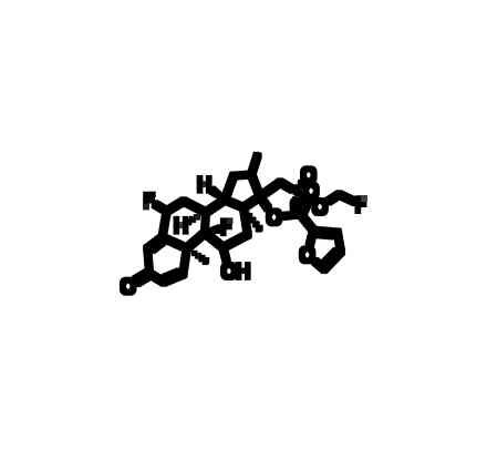 CC1C[C@H]2[C@@H]3CC(F)C4=CC(=O)C=C[C@]4(C)[C@@]3(F)C(O)C[C@]2(C)C1(CS(=O)(=O)OCF)OC(=O)c1ccco1